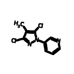 Cc1c(Cl)nn(-c2cccnc2)c1Cl